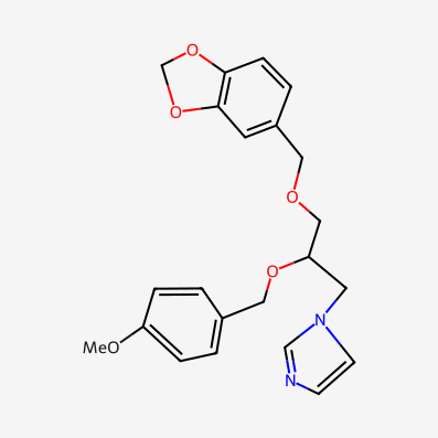 COc1ccc(COC(COCc2ccc3c(c2)OCO3)Cn2ccnc2)cc1